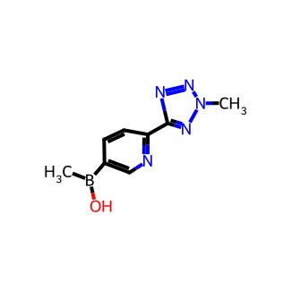 CB(O)c1ccc(-c2nnn(C)n2)nc1